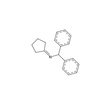 c1ccc(C(N=C2CCCC2)c2ccccc2)cc1